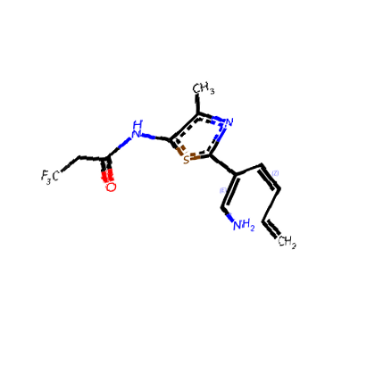 C=C/C=C\C(=C/N)c1nc(C)c(NC(=O)CC(F)(F)F)s1